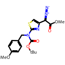 COC(=O)C(=[N+]=[N-])c1csc(N(Cc2ccc(OC)cc2)C(=O)OC(C)(C)C)n1